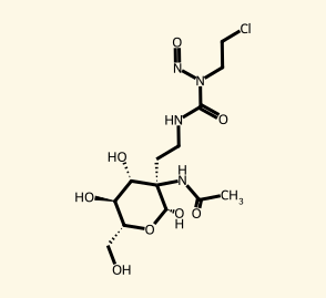 CC(=O)N[C@@]1(CCNC(=O)N(CCCl)N=O)[C@H](O)O[C@H](CO)[C@@H](O)[C@@H]1O